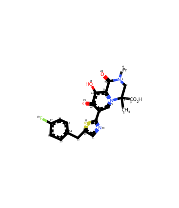 CC(C)N1CC(C)(C(=O)O)n2cc(-c3ncc(Cc4ccc(F)cc4)s3)c(=O)c(O)c2C1=O